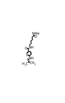 CNC(=O)CCCCCNC(=O)c1ccc(NN=C(C)C)nc1